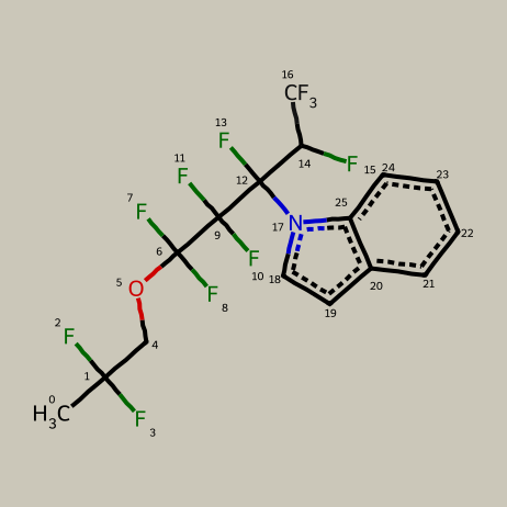 CC(F)(F)COC(F)(F)C(F)(F)C(F)(C(F)C(F)(F)F)n1ccc2ccccc21